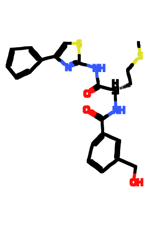 CSCC[Si@H](NC(=O)c1cccc(CO)c1)C(=O)Nc1nc(-c2ccccc2)cs1